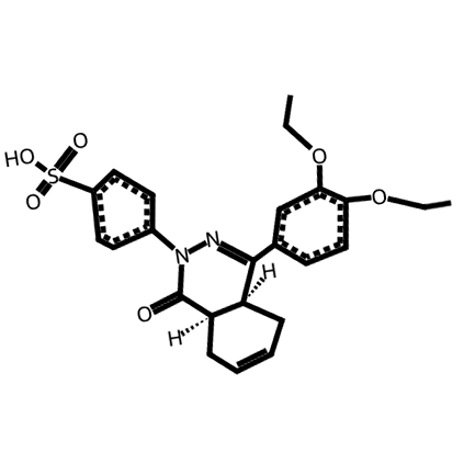 CCOc1ccc(C2=NN(c3ccc(S(=O)(=O)O)cc3)C(=O)[C@@H]3CC=CC[C@H]23)cc1OCC